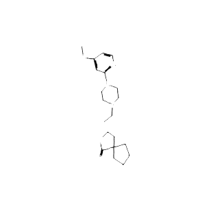 COc1ccnc(N2CCN(CC[C@@H]3CC4(CCCC4)C(=O)O3)CC2)c1